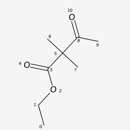 CCOC(=O)C(C)(C)C(C)=O